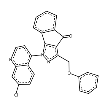 O=C1c2ccccc2-c2c1c(COc1ccccc1)nn2-c1ccnc2cc(Cl)ccc12